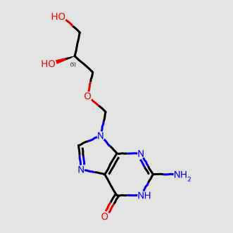 Nc1nc2c(ncn2COC[C@@H](O)CO)c(=O)[nH]1